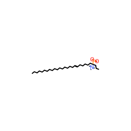 CCCCCCCCCCCCCCCCCC=CCCCCCC(CCC)(P(=O)=O)[N+](C)(C)C